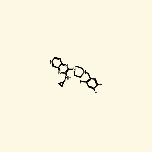 Fc1cc(F)c(CN2CCN(c3nc4ccncc4nc3NC3CC3)CC2)cc1F